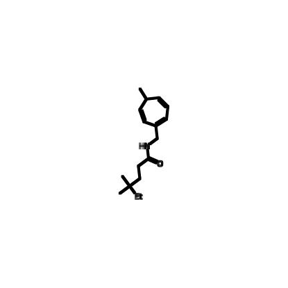 CCC(C)(C)CCC(=O)NCC1=CC=CC(C)C=C1